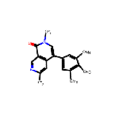 COc1cc(-c2cn(C)c(=O)c3cnc(C(F)(F)F)cc23)cc(OC)c1C=O